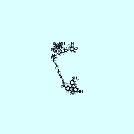 Cc1cn([C@@H]2CC(OC(=O)CCn3cc(COCCOCCOCCOCCNC(=O)c4ccc(C(=O)O)c(-c5c6ccc(=N)cc-6oc6cc(N)ccc56)c4)nn3)[C@H](COP(=O)(O)OP(=O)(O)OP(=O)(O)O)O2)c(=O)[nH]c1=O